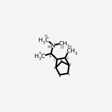 CC1C2CCC(C2)C1C(C)N(C)C